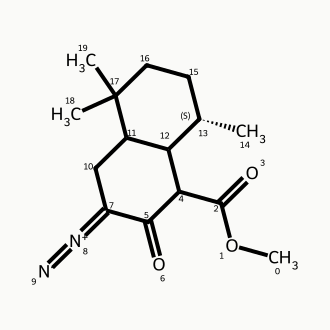 COC(=O)C1C(=O)C(=[N+]=[N-])CC2C1[C@@H](C)CCC2(C)C